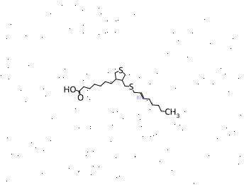 CCCCC/C=C/CSCC1CSCC1CCCCCCC(=O)O